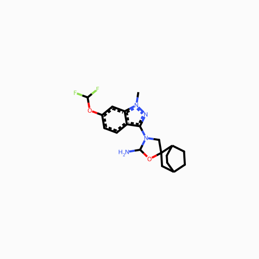 Cn1nc(N2CC3(CC4CCC3CC4)OC2N)c2ccc(OC(F)F)cc21